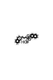 Cl.O=S(=O)(NCCCN1CCc2ccccc2C1)c1ccc2ccccc2c1